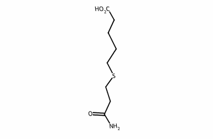 NC(=O)CCSCCCCC(=O)O